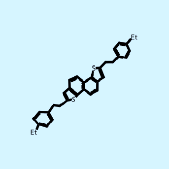 CCc1ccc(CCc2cc3ccc4c(ccc5cc(CCc6ccc(CC)cc6)sc54)c3s2)cc1